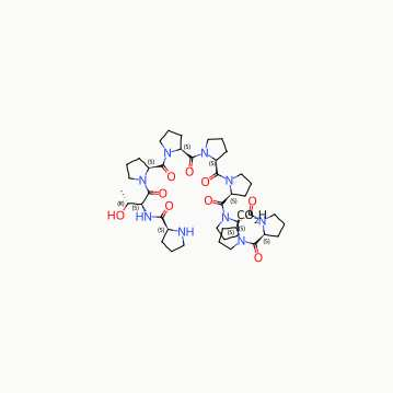 C[C@@H](O)[C@H](NC(=O)[C@@H]1CCCN1)C(=O)N1CCC[C@H]1C(=O)N1CCC[C@H]1C(=O)N1CCC[C@H]1C(=O)N1CCC[C@H]1C(=O)N1CCC[C@H]1C(=O)N1CCC[C@H]1C(=O)N1CCC[C@H]1C(=O)O